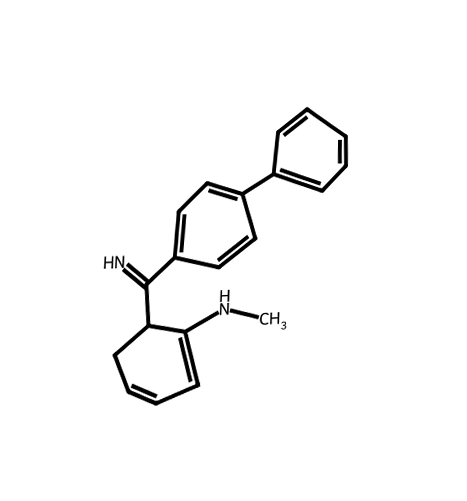 CNC1=CC=CCC1C(=N)c1ccc(-c2ccccc2)cc1